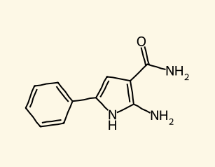 NC(=O)c1cc(-c2ccccc2)[nH]c1N